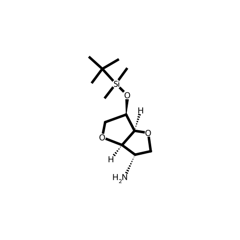 CC(C)(C)[Si](C)(C)O[C@@H]1CO[C@H]2[C@@H]1OC[C@@H]2N